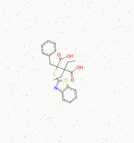 CCC(CC)(C(=O)O)C(Cc1ccccc1)(Sc1nc2ccccc2s1)C(=O)O